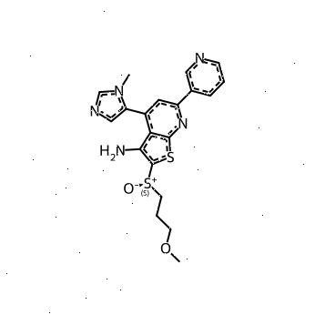 COCCC[S@@+]([O-])c1sc2nc(-c3cccnc3)cc(-c3cncn3C)c2c1N